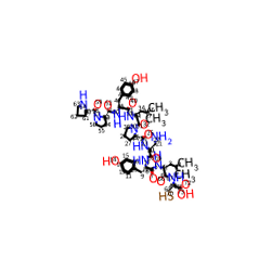 CC(C)C[C@H](NC(=O)[C@H](Cc1ccc(O)cc1)NC(=O)[C@H](CN)NC(=O)[C@@H]1CCCN1C(=O)[C@H](CC(C)C)NC(=O)[C@H](Cc1ccc(O)cc1)NC(=O)[C@@H]1CCCN1C(=O)[C@@H]1CCCN1)C(=O)N[C@@H](CS)C(=O)O